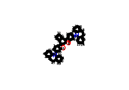 C1=CC2c3c(c4oc5cc(N6c7ccccc7CCc7ccccc76)ccc5c4c4ccccc34)OC2C=C1N1c2ccccc2CCc2ccccc21